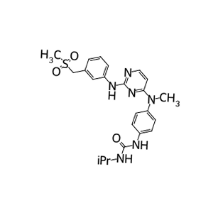 CC(C)NC(=O)Nc1ccc(N(C)c2ccnc(Nc3cccc(CS(C)(=O)=O)c3)n2)cc1